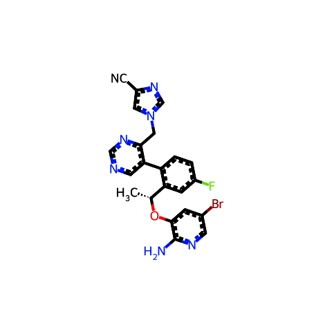 C[C@@H](Oc1cc(Br)cnc1N)c1cc(F)ccc1-c1cncnc1Cn1cnc(C#N)c1